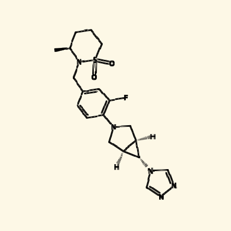 C[C@H]1CCCS(=O)(=O)N1Cc1ccc(N2C[C@@H]3[C@H](C2)[C@H]3n2cnnc2)c(F)c1